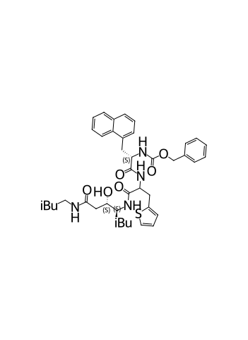 CCC(C)CNC(=O)C[C@H](O)[C@@H](NC(=O)C(Cc1cccs1)NC(=O)[C@H](Cc1cccc2ccccc12)NC(=O)OCc1ccccc1)C(C)CC